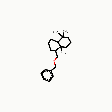 CC1(C)CCCC2(C)C(COCc3ccccc3)CCCC12